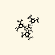 O=[N+]([O-])c1cc([SiH2][O][V](=[O])([O][SiH2]c2cc([N+](=O)[O-])cc([N+](=O)[O-])c2)[O][SiH2]c2cc([N+](=O)[O-])cc([N+](=O)[O-])c2)cc([N+](=O)[O-])c1